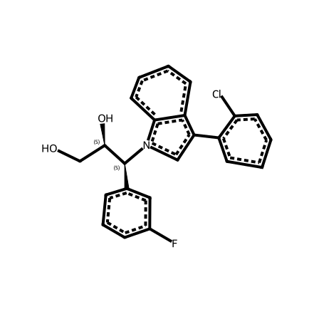 OC[C@@H](O)[C@H](c1cccc(F)c1)n1cc(-c2ccccc2Cl)c2ccccc21